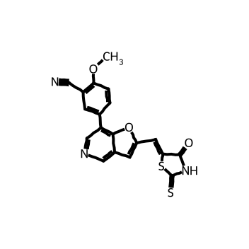 COc1ccc(-c2cncc3cc(/C=C4\SC(=S)NC4=O)oc23)cc1C#N